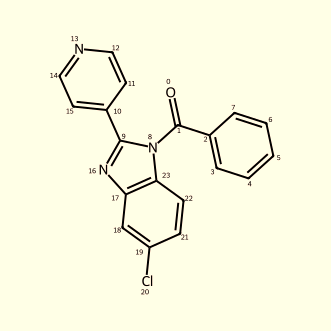 O=C(c1ccccc1)n1c(-c2ccncc2)nc2cc(Cl)ccc21